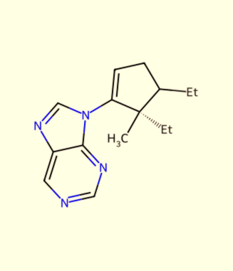 CCC1CC=C(n2cnc3cncnc32)[C@@]1(C)CC